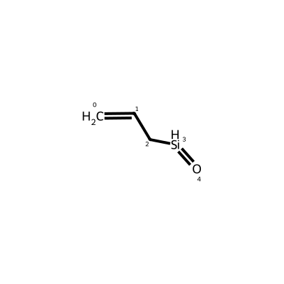 C=CC[SiH]=O